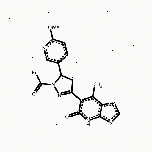 CCC(=O)N1N=C(c2c(C)c3ccsc3[nH]c2=O)CC1c1ccc(OC)nc1